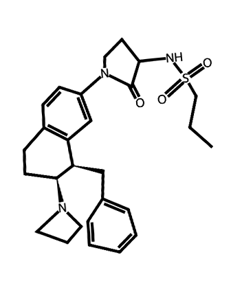 CCCS(=O)(=O)NC1CCN(c2ccc3c(c2)[C@@H](Cc2ccccc2)[C@@H](N2CCC2)CC3)C1=O